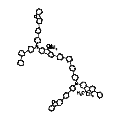 CC1(C)c2cc(-c3ccccc3)ccc2-c2ccc(N(c3ccc(-c4ccc(-c5cccc(-c6ccc(-c7ccc8c(c7)C(C)(C)c7cc(N(c9ccc(-c%10ccc(-c%11ccc%12c(c%11)oc%11ccccc%11%12)cc%10)cc9)c9ccc(-c%10cccc(-c%11ccccc%11)c%10)cc9)ccc7-8)cc6)c5)cc4)cc3)c3ccc(-c4ccc(-c5ccc6c(c5)oc5ccccc56)cc4)cc3)cc21